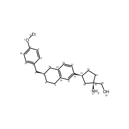 CCOc1ccc(C[C@@H]2CCc3cc([C@H]4CC[C@](N)(CO)C4)ccc3C2)cc1